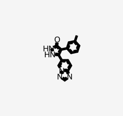 Cc1cccc(-c2c(-c3ccc4ncnn4c3)[nH][nH]c2=O)c1